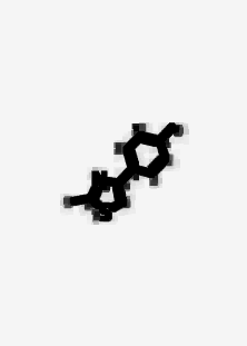 [CH2]c1ccc(-c2csc(C)n2)cc1